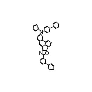 c1ccc(-c2ccc(N(c3ccccc3)c3ccc4cc5c6c(cccc6c4c3)-c3oc(-c4cccc(-c6ccccc6)c4)nc3-5)cc2)cc1